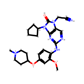 COc1cc(OC2CCN(C)CC2)ccc1Nc1ncc2c(n1)n(C1CCCC1)c(=O)n2CC#N